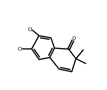 CC1(C)C=Cc2cc(Cl)c(Cl)cc2C1=O